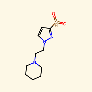 O=[SH](=O)c1ccn(CCN2CCCCC2)n1